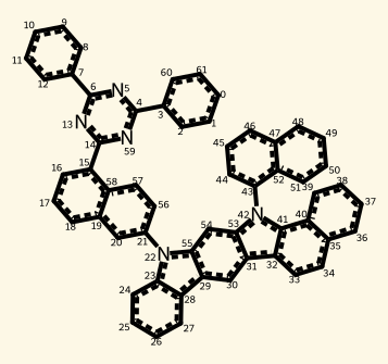 c1ccc(-c2nc(-c3ccccc3)nc(-c3cccc4cc(-n5c6ccccc6c6cc7c8ccc9ccccc9c8n(-c8cccc9ccccc89)c7cc65)ccc34)n2)cc1